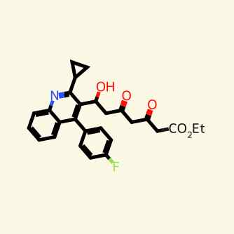 CCOC(=O)CC(=O)CC(=O)CC(O)c1c(C2CC2)nc2ccccc2c1-c1ccc(F)cc1